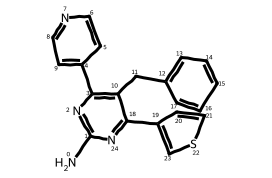 Nc1nc(-c2ccncc2)c(Cc2ccccc2)c(-c2ccsc2)n1